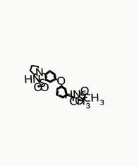 CC(NS(C)(=O)=O)c1cccc(Oc2ccc3c(c2)S(=O)(=O)NC2CCCN32)c1